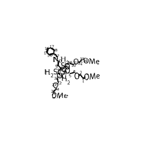 COCCOCCO[SiH2]C(CCN=Cc1ccccc1)([SiH2]OCCOCCOC)[SiH2]OCCOCCOC